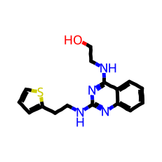 OCCNc1nc(NCCc2cccs2)nc2ccccc12